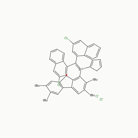 CC(C)(C)c1cc2c(cc1C(C)(C)C)-c1cc(C(C)(C)C)c(C(C)(C)C)[c]([Zr+2]([C]3=CC=CC3)=[C](c3cc(Cl)cc4ccccc34)c3cc(Cl)cc4ccccc34)c1C2.[Cl-].[Cl-]